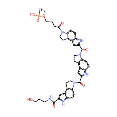 CP(=O)(O)OCCCC(=O)N1CCc2c1ccc1[nH]c(C(=O)N3CCc4c3ccc3[nH]c(C(=O)N5CCc6c5ccc5[nH]c(C(=O)NCCCO)cc65)cc43)cc21